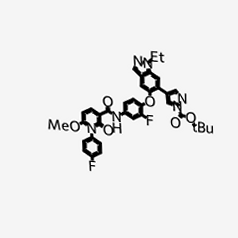 CCn1ncc2cc(Oc3ccc(NC(=O)c4ccc(OC)n(-c5ccc(F)cc5)c4=O)cc3F)c(-c3cnn(C(=O)OC(C)(C)C)c3)cc21